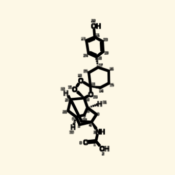 O=C(O)N[C@]12C[C@@H]3C[C@H](C1)[C@]1(OO[C@@]4(CCC[C@@H](c5ccc(O)cc5)C4)O1)[C@@H](C3)C2